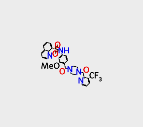 COc1cc(NS(=O)(=O)c2cccc3cccnc23)ccc1C(=O)N1CCN(C(=O)c2ncccc2C(F)(F)F)CC1